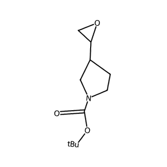 CC(C)(C)OC(=O)N1CCC(C2CO2)C1